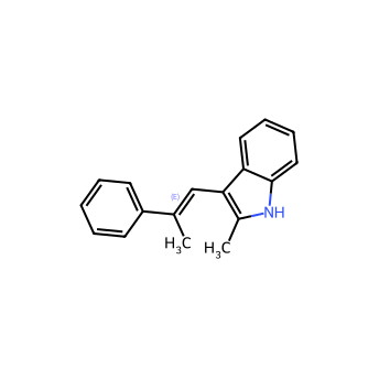 C/C(=C\c1c(C)[nH]c2ccccc12)c1ccccc1